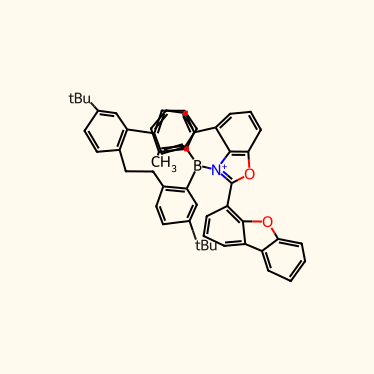 Cc1cccc2c1B(c1cc(C(C)(C)C)ccc1CCc1ccc(C(C)(C)C)cc1-c1ccccc1)[n+]1c(-c3cccc4c3oc3ccccc34)oc3cccc-2c31